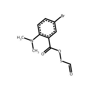 CN(C)c1ccc(Br)cc1C(=O)OSC=O